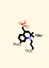 COc1ccc2c(c1)N(CCCC(=O)[O-])C(C)(C)C=C2CS(=O)(=O)[O-].[Na+].[Na+]